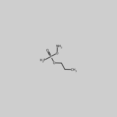 CCCOP(=O)(P)ON